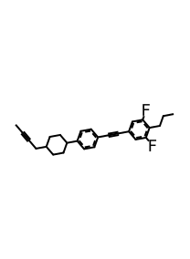 CC#CCC1CCC(c2ccc(C#Cc3cc(F)c(CCC)c(F)c3)cc2)CC1